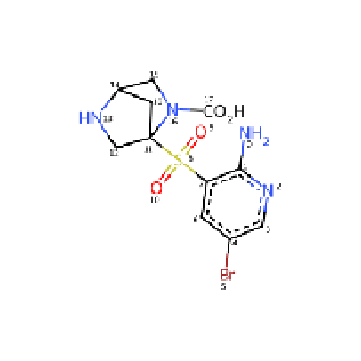 Nc1ncc(Br)cc1S(=O)(=O)C12CNC(CN1C(=O)O)C2